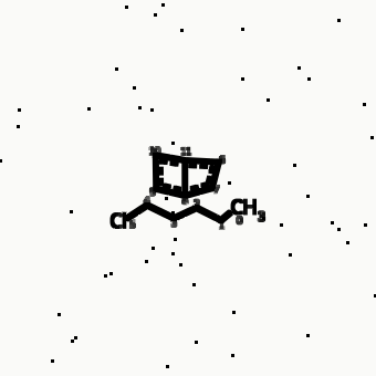 CCCCCCl.c1cc2ccc1-2